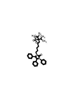 CC(C)C(CCCCCCn1c(-c2ccccc2)c(-c2ccccc2)n(-c2ccccc2)c1=O)(C(C)C)P(=O)(O)O